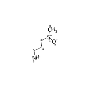 C[S+]([O-])CCC[NH]